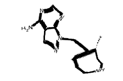 Nc1ncnc2c1cnn2CC1CCNC[C@H]1F